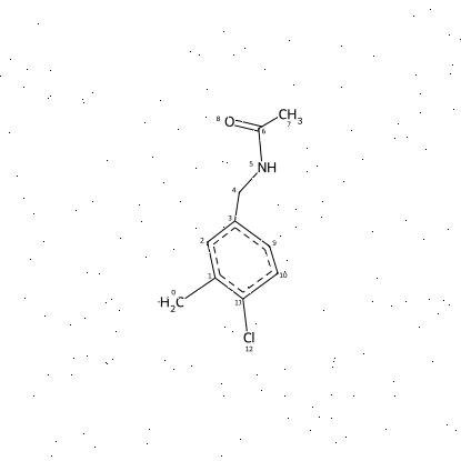 [CH2]c1cc(CNC(C)=O)ccc1Cl